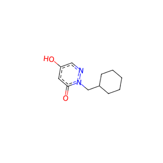 O=c1cc(O)cnn1CC1CCCCC1